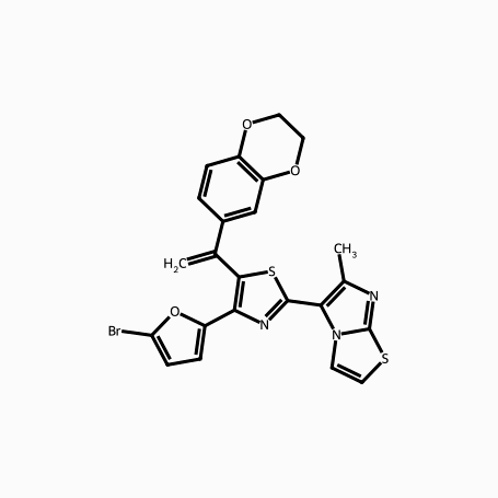 C=C(c1ccc2c(c1)OCCO2)c1sc(-c2c(C)nc3sccn23)nc1-c1ccc(Br)o1